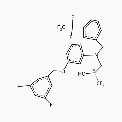 O[C@H](CN(Cc1cccc(C(F)(F)C(F)(F)F)c1)c1cccc(OCc2cc(F)cc(F)c2)c1)C(F)(F)F